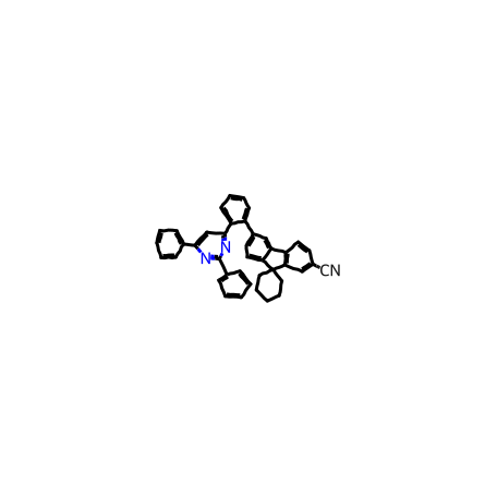 N#Cc1ccc2c(c1)C1(CCCCC1)c1ccc(-c3ccccc3-c3cc(-c4ccccc4)nc(-c4ccccc4)n3)cc1-2